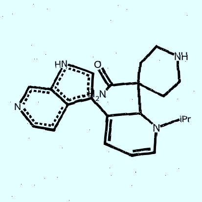 CC(C)N1C=CC=C(c2c[nH]c3cnccc23)C1C1(C(N)=O)CCNCC1